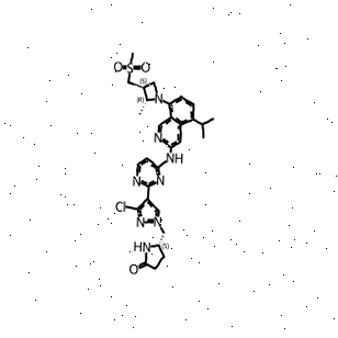 CC(C)c1ccc(N2C[C@H](CS(C)(=O)=O)[C@H]2C)c2cnc(Nc3ccnc(-c4cn(C[C@@H]5CCC(=O)N5)nc4Cl)n3)cc12